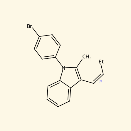 CC/C=C\c1c(C)n(-c2ccc(Br)cc2)c2ccccc12